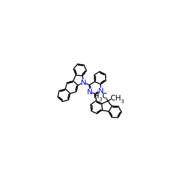 CC1(C)c2ccccc2-c2cccc(-c3nc(-n4c5ccccc5c5cc6ccccc6cc54)c4ccccc4n3)c21